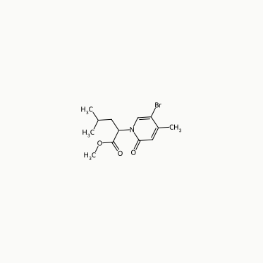 COC(=O)C(CC(C)C)n1cc(Br)c(C)cc1=O